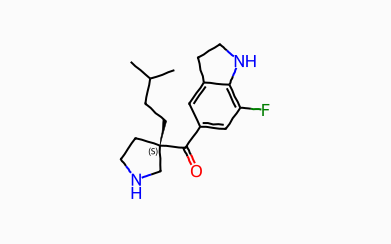 CC(C)CC[C@]1(C(=O)c2cc(F)c3c(c2)CCN3)CCNC1